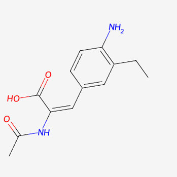 CCc1cc(/C=C(/NC(C)=O)C(=O)O)ccc1N